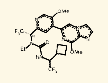 CCN(C(=O)NC(C1CCC1)C(F)(F)F)[C@@H](c1cc(-c2cn3ccnc3c(OC)n2)c(OC)cn1)C(F)(F)F